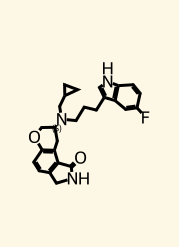 O=C1NCc2ccc3c(c21)C[C@H](N(CCCc1c[nH]c2ccc(F)cc12)CC1CC1)CO3